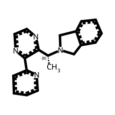 C[C@H](c1nccnc1-c1ccccn1)N1Cc2ccccc2C1